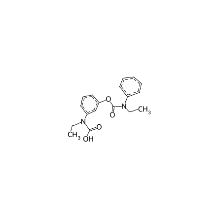 CCN(C(=O)O)c1cccc(OC(=O)N(CC)c2ccccc2)c1